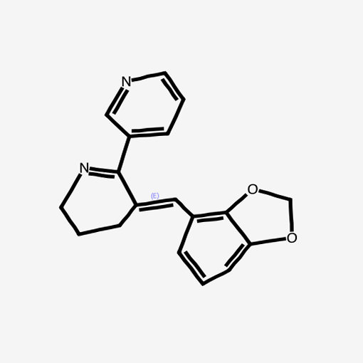 C(=C1/CCCN=C1c1cccnc1)/c1cccc2c1OCO2